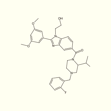 COc1cc(OC)cc(-c2nc3cc(C(=O)N4CCN(Cc5ccccc5F)CC4C(C)C)ccc3n2CCO)c1